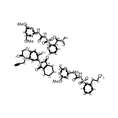 C#CCN1C(=O)COc2cc(F)c(N3C(=O)C4=C(CCCC4)C3=O)cc21.COc1cc(OC)nc(NC(=O)NS(=O)(=O)c2ncccc2C(=O)N(C)C)n1.COc1nc(C)nc(NC(=O)NS(=O)(=O)c2ccccc2CCC(F)(F)F)n1